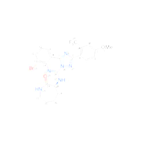 COc1ccc(-c2nc3c4cccc(Br)c4nc(N[C@H]4CCCCNC4=O)n3n2)c(C(F)(F)F)c1